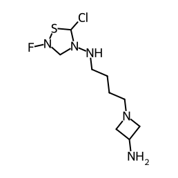 NC1CN(CCCCNN2CN(F)SC2Cl)C1